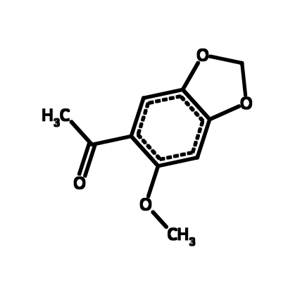 COc1cc2c(cc1C(C)=O)OCO2